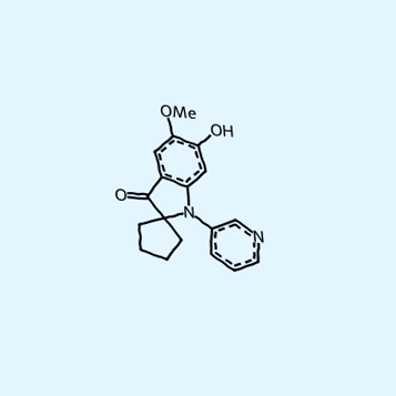 COc1cc2c(cc1O)N(c1cccnc1)C1(CCCC1)C2=O